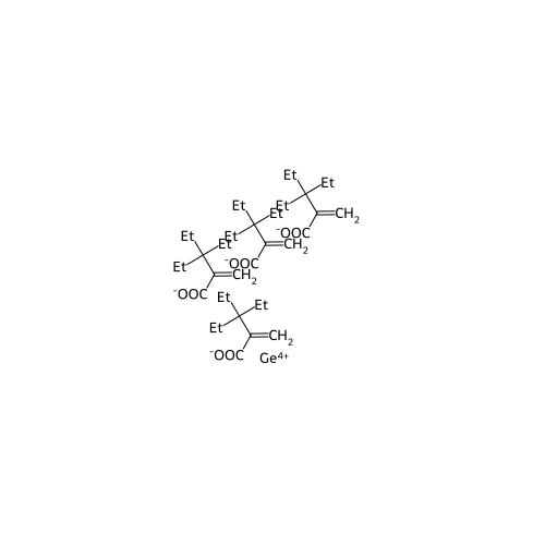 C=C(C(=O)[O-])C(CC)(CC)CC.C=C(C(=O)[O-])C(CC)(CC)CC.C=C(C(=O)[O-])C(CC)(CC)CC.C=C(C(=O)[O-])C(CC)(CC)CC.[Ge+4]